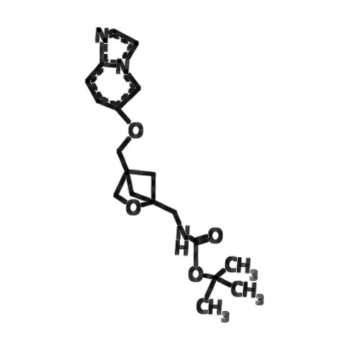 CC(C)(C)OC(=O)NCC12CC(COc3ccc4nccn4c3)(CO1)C2